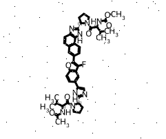 COC(=O)N[C@H](C(=O)N1CCC[C@H]1c1nc2ccc3cc(-c4oc5ccc(-c6cnc([C@@H]7CCCN7C(=O)[C@@H](NC(C)=O)C(C)C)[nH]6)cc5c4F)ccc3c2[nH]1)C(C)C